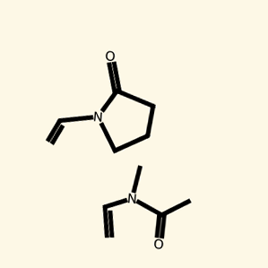 C=CN(C)C(C)=O.C=CN1CCCC1=O